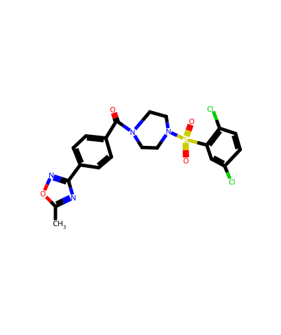 Cc1nc(-c2ccc(C(=O)N3CCN(S(=O)(=O)c4cc(Cl)ccc4Cl)CC3)cc2)no1